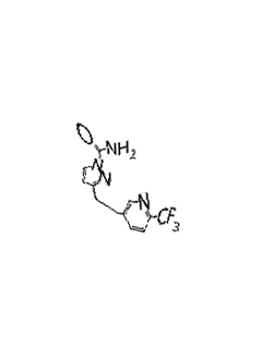 NC(=O)n1ccc(Cc2ccc(C(F)(F)F)nc2)n1